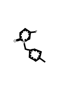 Cc1ccc(Cn2cc(F)ccc2=O)cc1